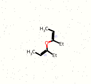 C/C=C(/CC)O/C(=C\C)CC